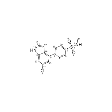 CNS(=O)(=O)c1ccc(-c2cc(Cl)cc3[nH]ncc23)cc1